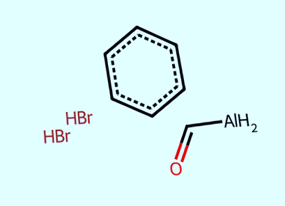 Br.Br.O=[CH][AlH2].c1ccccc1